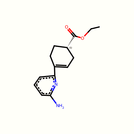 CCOC(=O)[C@@H]1CC=C(c2cccc(N)n2)CC1